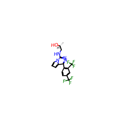 C[C@@H](O)CNc1nnc(-c2ccc(C(F)(F)F)cc2C(F)(F)F)c2cccn12